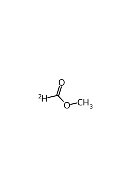 [2H]C(=O)OC